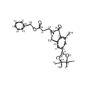 CC1(C)OB(c2cc(F)c3c(c2)CN(CCC(=O)OCc2ccccc2)C3=O)OC1(C)C